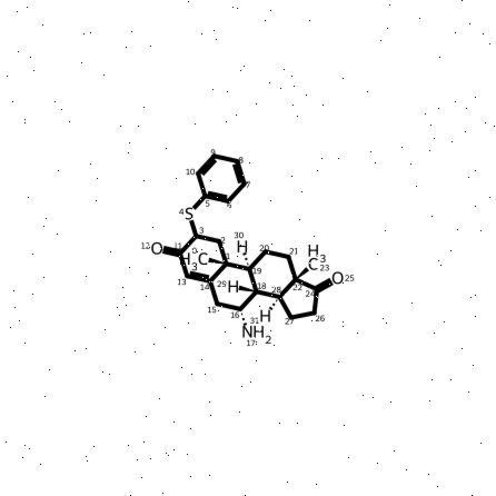 C[C@]12CC(Sc3ccccc3)C(=O)C=C1C[C@@H](N)[C@@H]1[C@@H]2CC[C@]2(C)C(=O)CC[C@@H]12